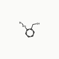 SCc1cccc[c]1[Mg][Br]